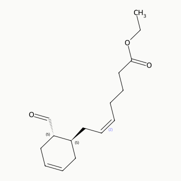 CCOC(=O)CCC/C=C\C[C@H]1CC=CC[C@@H]1C=O